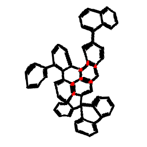 c1ccc(-c2ccccc2-c2c(-c3ccccc3)cccc2N(c2cccc(-c3cccc4ccccc34)c2)c2ccc3c(c2)-c2ccccc2C32c3ccccc3-c3ccccc32)cc1